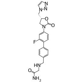 NC(=O)CNCc1ccc(-c2ccc(N3C[C@H](Cn4ccnn4)OC3=O)cc2F)cc1